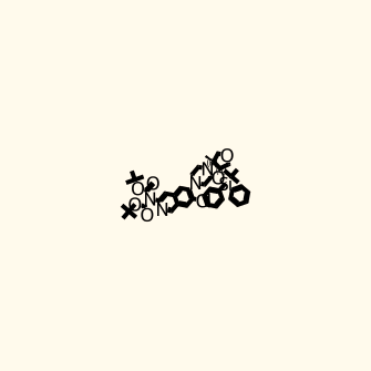 CC(C)(C)OC(=O)N(C(=O)OC(C)(C)C)c1cc2cc(N3CCN([C@]4(C)COC[C@@H]4O[Si](c4ccccc4)(c4ccccc4)C(C)(C)C)CC3)c(Cl)cc2cn1